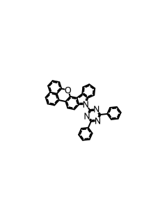 c1ccc(-c2nc(-c3ccccc3)nc(-n3c4ccccc4c4c5c(ccc43)-c3cccc4cccc(c34)O5)n2)cc1